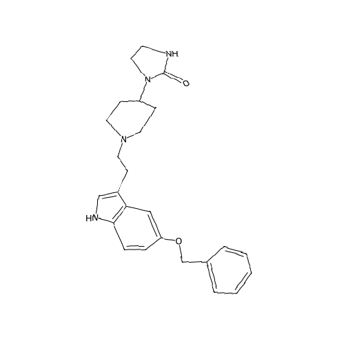 O=C1NCCN1C1CCN(CCc2c[nH]c3ccc(OCc4ccccc4)cc23)CC1